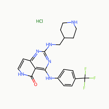 Cl.O=c1[nH]ccc2nc(NCC3CCNCC3)nc(Nc3ccc(C(F)(F)F)cc3)c12